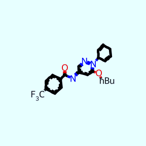 CCCCOc1cc(=NC(=O)c2ccc(C(F)(F)F)cc2)cnn1C1C=CCC=C1